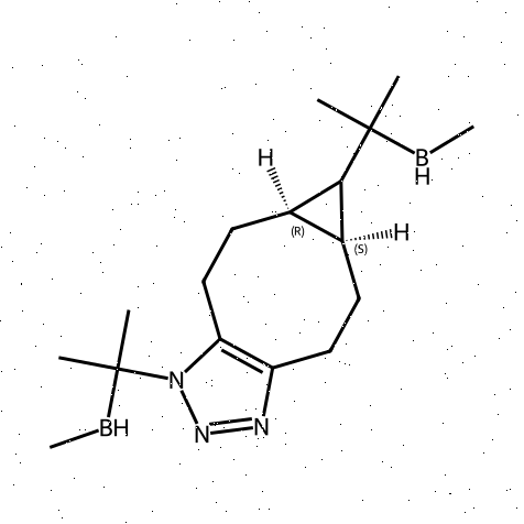 CBC(C)(C)C1[C@H]2CCc3nnn(C(C)(C)BC)c3CC[C@@H]12